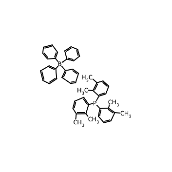 Cc1cccc(P(c2cccc(C)c2C)c2cccc(C)c2C)c1C.c1ccc([B-](c2ccccc2)(c2ccccc2)c2ccccc2)cc1